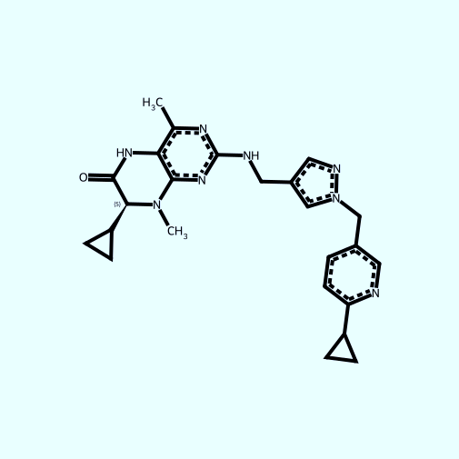 Cc1nc(NCc2cnn(Cc3ccc(C4CC4)nc3)c2)nc2c1NC(=O)[C@H](C1CC1)N2C